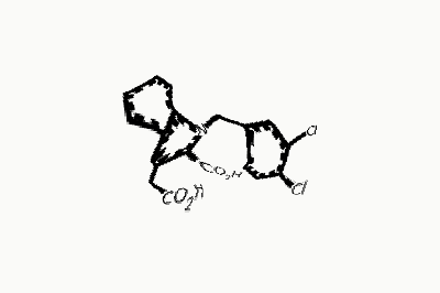 O=C(O)Cc1c(C(=O)O)n(Cc2ccc(Cl)c(Cl)c2)c2ccccc12